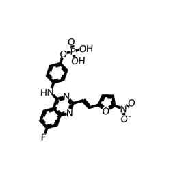 O=[N+]([O-])c1ccc(C=Cc2nc(Nc3ccc(OP(=O)(O)O)cc3)c3ccc(F)cc3n2)o1